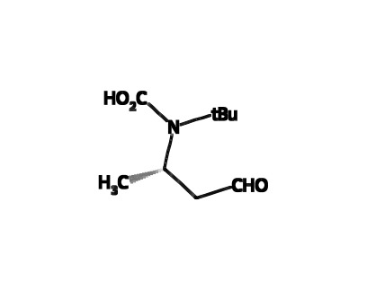 C[C@@H](CC=O)N(C(=O)O)C(C)(C)C